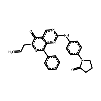 C=CCn1nc(-c2ccccc2)c2nc(Nc3ccc(N4CCCC4=O)cc3)ncc2c1=O